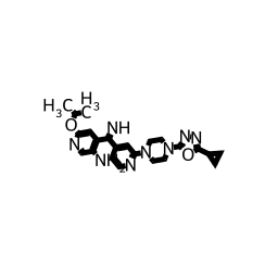 CC(C)Oc1cc(C(=N)c2ccnc(N3CCN(c4nnc(C5CC5)o4)CC3)c2)c(N)cn1